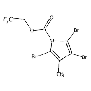 N#Cc1c(Br)c(Br)n(C(=O)OCC(F)(F)F)c1Br